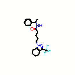 CC(NC(=O)CCCCn1nc(C(F)(F)F)c2c1CCCC2)c1ccccc1